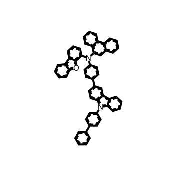 c1ccc(-c2ccc(-n3c4ccccc4c4cc(-c5ccc(N(c6cc7ccccc7c7ccccc67)c6cccc7c6oc6ccccc67)cc5)ccc43)cc2)cc1